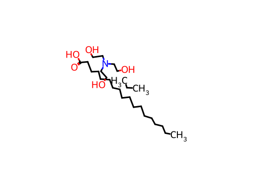 CCC.CCCCCCCCCCCCCCCCCC(=O)O.OCCN(CCO)CCO